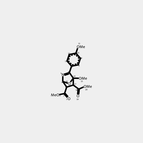 COC(=O)C1C2N=C(c3ccc(OC)cc3)C(OC)(O2)C1C(=O)OC